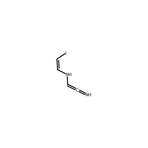 N=C=CN/C=C\I